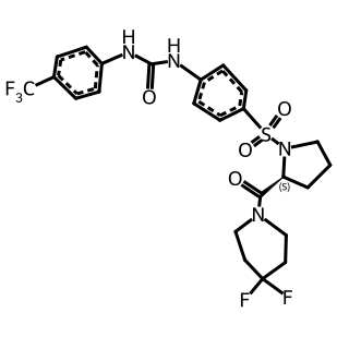 O=C(Nc1ccc(C(F)(F)F)cc1)Nc1ccc(S(=O)(=O)N2CCC[C@H]2C(=O)N2CCC(F)(F)CC2)cc1